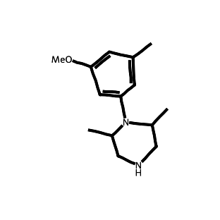 COc1cc(C)cc(N2C(C)CNCC2C)c1